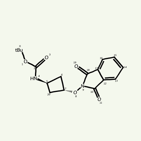 CC(C)(C)OC(=O)N[C@H]1C[C@H](ON2C(=O)c3ccccc3C2=O)C1